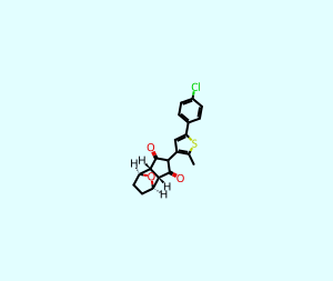 Cc1sc(-c2ccc(Cl)cc2)cc1C1C(=O)[C@@H]2[C@H](C1=O)[C@H]1CC[C@@H]2O1